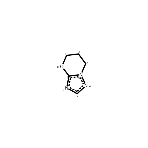 c1nc2n(n1)CCCO2